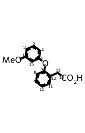 COc1cccc(Oc2ccccc2CC(=O)O)c1